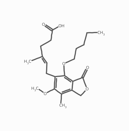 CCCCCOc1c(C/C=C(\C)CCC(=O)O)c(OC)c(C)c2c1C(=O)OC2